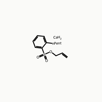 C=CCOS(=O)(=O)c1ccccc1CCCCC.[CaH2]